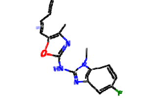 C=C/C=C\c1oc(Nc2nc3cc(F)ccc3n2C)nc1C